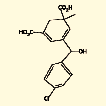 CC1(C(=O)O)C=C(C(O)c2ccc(Cl)cc2)C=C(C(=O)O)C1